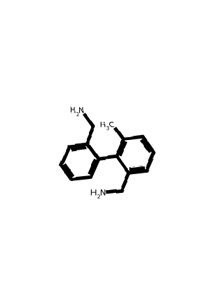 Cc1cccc(CN)c1-c1ccccc1CN